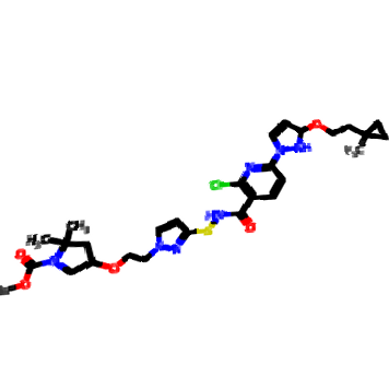 CC(C)(C)OC(=O)N1CC(OCCn2ccc(SNC(=O)c3ccc(N4C=CC(OCCC5(C(F)(F)F)CC5)N4)nc3Cl)n2)CC1(C)C